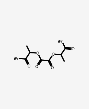 CC(C)C(=O)C(C)OC(=O)C(=O)OC(C)C(=O)C(C)C